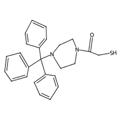 O=C(CS)N1CCN(C(c2ccccc2)(c2ccccc2)c2ccccc2)CC1